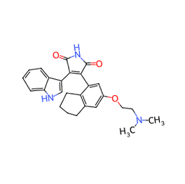 CN(C)CCOc1cc2c(c(C3=C(c4c[nH]c5ccccc45)C(=O)NC3=O)c1)CCCC2